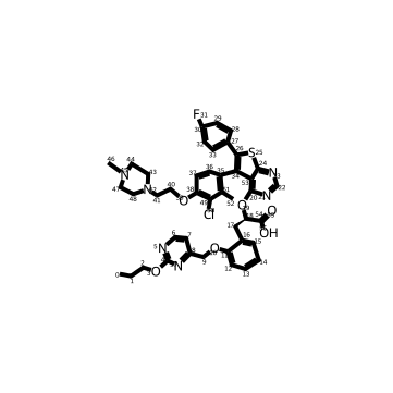 CCCOc1nccc(COc2ccccc2C[C@@H](Oc2ncnc3sc(-c4ccc(F)cc4)c(-c4ccc(OCCN5CCN(C)CC5)c(Cl)c4C)c23)C(=O)O)n1